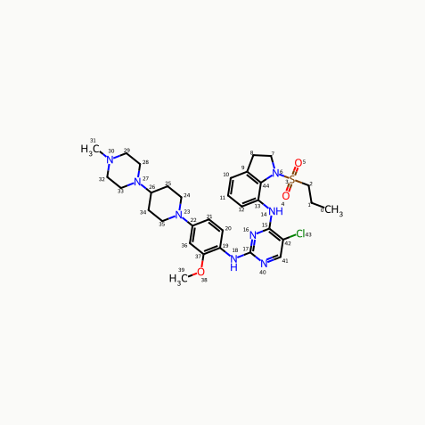 CCCS(=O)(=O)N1CCc2cccc(Nc3nc(Nc4ccc(N5CCC(N6CCN(C)CC6)CC5)cc4OC)ncc3Cl)c21